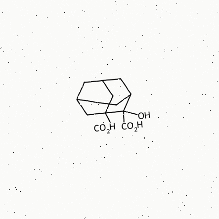 O=C(O)C12CC3CC(CC(C3)C1(O)C(=O)O)C2